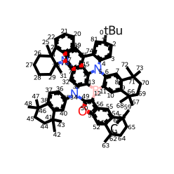 CC(C)(C)c1ccc(N2c3cc4c(cc3B3c5c2cc(N2c6ccccc6C6(C)CCCCC26C)cc5N(c2ccc5c(c2)C(C)(C)CCC5(C)C)c2oc5cc6c(cc5c23)C2(C)CCC6(C)CC2)C(C)(C)CCC4(C)C)c(-c2ccccc2)c1